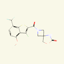 O=C1NC2(CO1)CN(C(=O)c1sc3c(C(F)F)ccc(OC(F)(F)F)c3c1Cl)C2